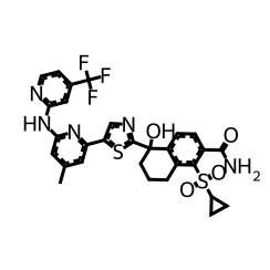 Cc1cc(Nc2cc(C(F)(F)F)ccn2)nc(-c2cnc(C3(O)CCCc4c3ccc(C(N)=O)c4S(=O)(=O)C3CC3)s2)c1